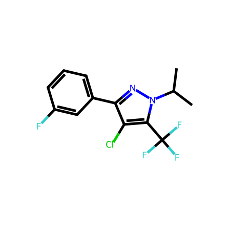 CC(C)n1nc(-c2cccc(F)c2)c(Cl)c1C(F)(F)F